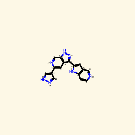 c1cc2[nH]c(-c3n[nH]c4cnc(-c5cn[nH]c5)cc34)cc2cn1